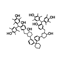 Cc1cc(C(c2cc(CC3CC(c4cccc(C5(c6cccc(C7CCC(O)C(Cc8ccc(O)c(C(c9cc(C)c(O)c(C)c9C)c9cc(C)c(O)c(C)c9C)c8)C7)c6)CCCCC5)c4)CCC3O)ccc2O)c2cc(C)c(O)c(C)c2C)c(C)c(C)c1O